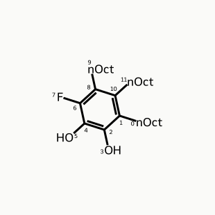 CCCCCCCCc1c(O)c(O)c(F)c(CCCCCCCC)c1CCCCCCCC